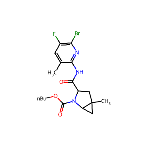 CCCCOC(=O)N1C(C(=O)Nc2nc(Br)c(F)cc2C)CC2(C)CC12